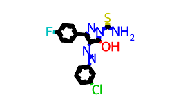 NC(=S)n1nc(-c2ccc(F)cc2)c(/N=N/c2cccc(Cl)c2)c1O